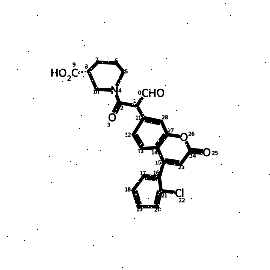 O=CC(C(=O)N1CCC[C@@H](C(=O)O)C1)c1ccc2c(-c3ccccc3Cl)cc(=O)oc2c1